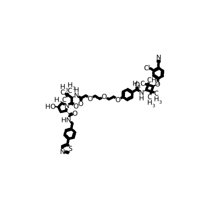 CC(C)(C)[C@H](NC(=O)COCCOCCOc1ccc(C(=O)N[C@H]2C(C)(C)[C@H](Oc3ccc(C#N)c(Cl)c3)C2(C)C)cc1)C(=O)N1C[C@H](O)C[C@H]1C(=O)NCc1ccc(-c2cncs2)cc1